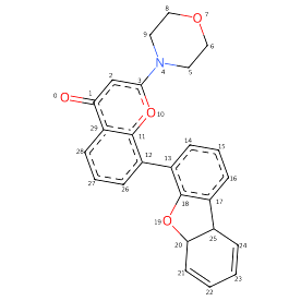 O=c1cc(N2CCOCC2)oc2c(-c3cccc4c3OC3C=CC=CC43)cccc12